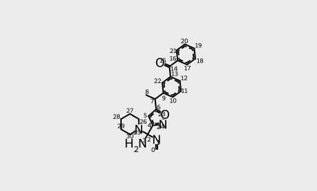 C=NC(N)(c1cc(C(C)c2cccc(C(=O)c3ccccc3)c2)on1)N1CCCCC1